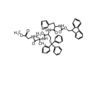 COC(=O)CNC(=O)C(C)(C)NC(=O)C(CSC(c1ccccc1)(c1ccccc1)c1ccccc1)NC(=O)C(Cc1cccnc1)NC(=O)OCC1c2ccccc2-c2ccccc21